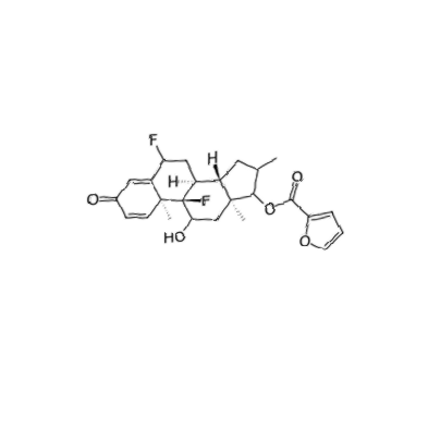 CC1C[C@H]2[C@@H]3CC(F)C4=CC(=O)C=C[C@]4(C)[C@@]3(F)C(O)C[C@]2(C)C1OC(=O)c1ccco1